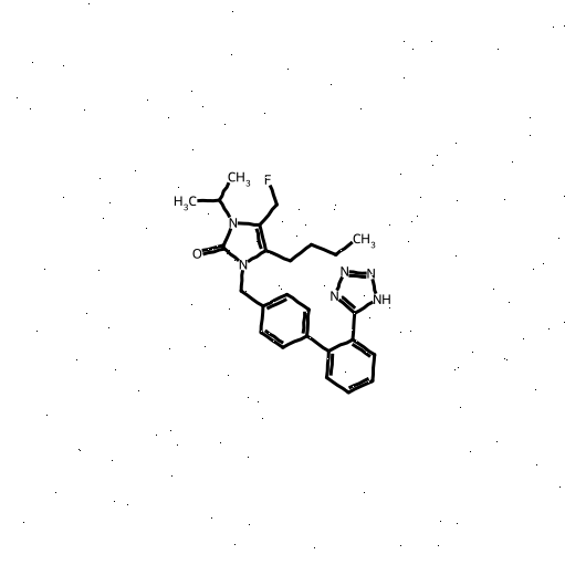 CCCCc1c(CF)n(C(C)C)c(=O)n1Cc1ccc(-c2ccccc2-c2nnn[nH]2)cc1